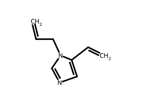 C=CCn1cncc1C=C